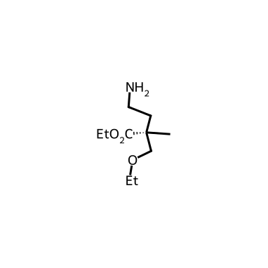 CCOC[C@](C)(CCN)C(=O)OCC